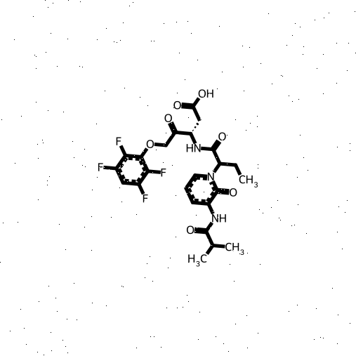 CCC(C(=O)N[C@@H](CC(=O)O)C(=O)COc1c(F)c(F)cc(F)c1F)n1cccc(NC(=O)C(C)C)c1=O